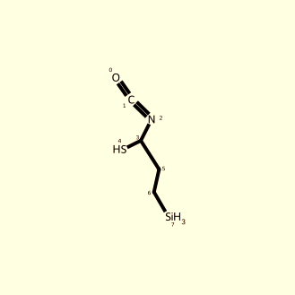 O=C=NC(S)CC[SiH3]